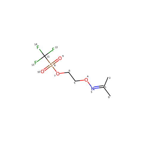 CC(C)=NOCCOS(=O)(=O)C(F)(F)F